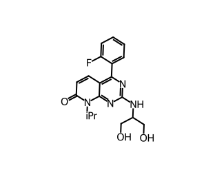 CC(C)n1c(=O)ccc2c(-c3ccccc3F)nc(NC(CO)CO)nc21